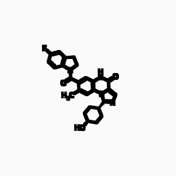 Cc1cc2c(cc1C(=O)N1CCc3cc(F)ccc31)[nH]c(=O)c1cnc([C@H]3CC[C@H](O)CC3)n12